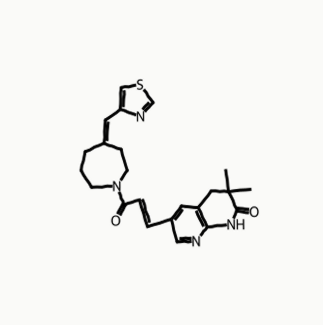 CC1(C)Cc2cc(C=CC(=O)N3CCCC(=Cc4cscn4)CC3)cnc2NC1=O